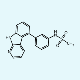 CS(=O)(=O)Nc1cccc(-c2cccc3[nH]c4ncccc4c23)c1